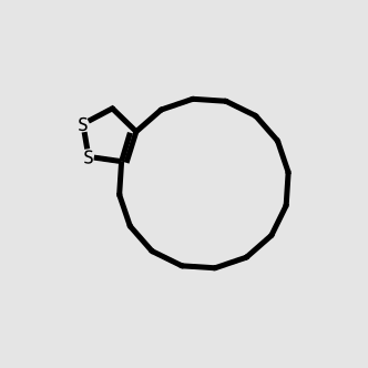 C1CCCCCCCC2=C(CCCCCC1)CSS2